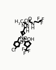 CC1(C)N=C(C23CC(N(Cc4ccc(Cl)cc4)S(=O)(=O)c4cc(C(F)(F)F)ccc4O)(C2)C3)N[C@H]1C(=O)NCCC(F)(F)F